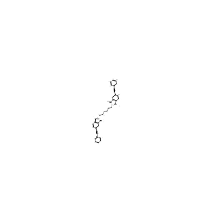 O=C1c2ccc(C#Cc3ccccc3)cc2C(=O)N1CCCCCCN1C(=O)c2ccc(C#Cc3ccccc3)cc2C1=O